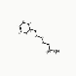 O=C(O)CCCCCC1CC=CCC1